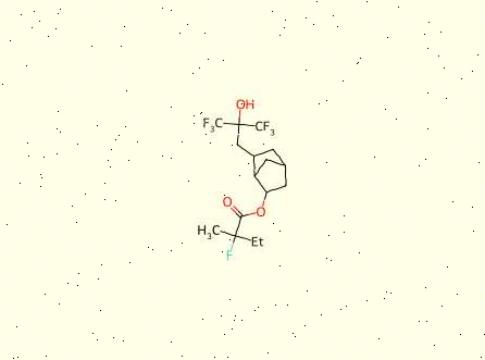 CCC(C)(F)C(=O)OC1CC2CC(CC(O)(C(F)(F)F)C(F)(F)F)C1C2